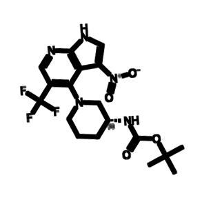 CC(C)(C)OC(=O)N[C@@H]1CCCN(c2c(C(F)(F)F)cnc3[nH]cc([N+](=O)[O-])c23)C1